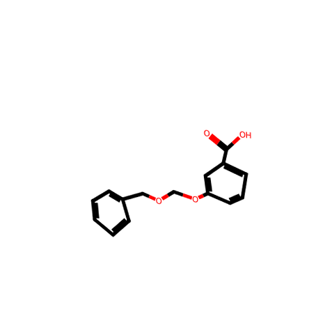 O=C(O)c1cccc(OCOCc2ccccc2)c1